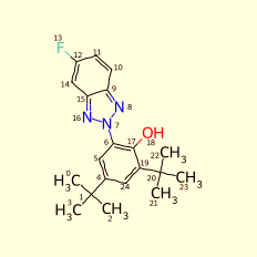 CC(C)(C)c1cc(-n2nc3ccc(F)cc3n2)c(O)c(C(C)(C)C)c1